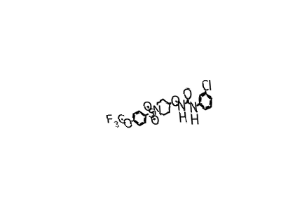 O=C(NOC1CCN(S(=O)(=O)c2ccc(OC(F)(F)F)cc2)CC1)Nc1cccc(Cl)c1